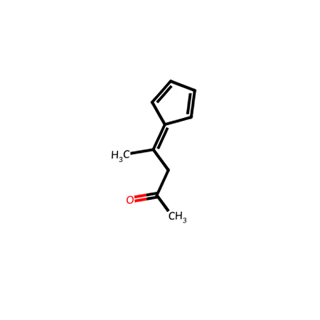 CC(=O)CC(C)=C1C=CC=C1